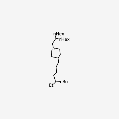 CCCCCCC(CCCCCC)CN1CCC(CCCCC(CC)CCCC)CC1